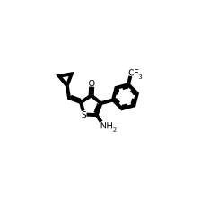 NC1=C(c2cccc(C(F)(F)F)c2)C(=O)/C(=C\C2CC2)S1